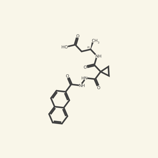 C[C@H](CC(=O)O)NC(=O)C1(C(=O)NNC(=O)c2ccc3ccccc3c2)CC1